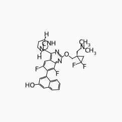 CN(C)C[C@@]1(COc2nc(N3C[C@@H]4CC[C@H]3CN4)c3cc(F)c(-c4cc(O)cc5ccccc45)c(F)c3n2)CC1(F)F